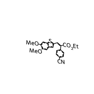 CCOC(=O)C(=Cc1cc2cc(OC)c(OC)cc2s1)c1ccc(C#N)cc1